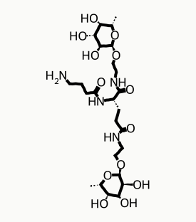 C[C@@H]1O[C@@H](OCCNC(=O)CC[C@H](NC(=O)CCCN)C(=O)NCCO[C@@H]2O[C@@H](C)[C@@H](O)[C@@H](O)[C@@H]2O)[C@@H](O)[C@H](O)[C@@H]1O